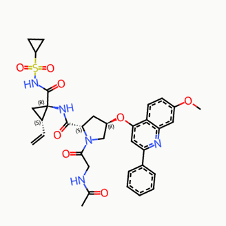 C=C[C@@H]1C[C@]1(NC(=O)[C@@H]1C[C@@H](Oc2cc(-c3ccccc3)nc3cc(OC)ccc23)CN1C(=O)CNC(C)=O)C(=O)NS(=O)(=O)C1CC1